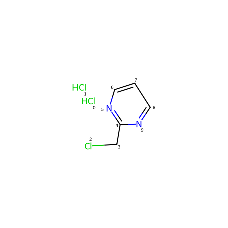 Cl.Cl.ClCc1ncccn1